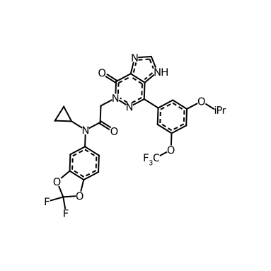 CC(C)Oc1cc(OC(F)(F)F)cc(-c2nn(CC(=O)N(c3ccc4c(c3)OC(F)(F)O4)C3CC3)c(=O)c3nc[nH]c23)c1